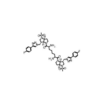 CS(=O)(=O)N1C[C@H](Cn2cc(-c3ccc(F)cc3)nn2)[C@@H]2[C@H]1CCN2C(=O)C(N)CCCCC(N)C(=O)N1CC[C@@H]2[C@H]1[C@@H](Cn1cc(-c3ccc(F)cc3)nn1)CN2S(C)(=O)=O